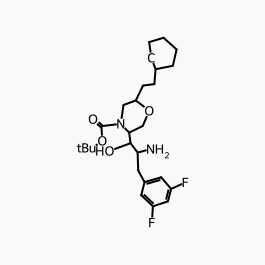 CC(C)(C)OC(=O)N1CC(CCC2CCCCC2)OCC1C(O)C(N)Cc1cc(F)cc(F)c1